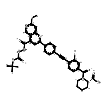 COc1cc2nc(-c3ccc(C#Cc4ccc(C(=O)N5CCCC[C@H]5C(=O)O)cc4Cl)cc3)cc(C(=O)NNC(=O)OC(C)(C)C)c2cn1